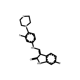 O=C1Nc2cc(F)ccc2C1=CNc1ccc(N2CCSCC2)c(F)c1